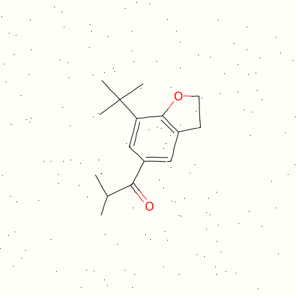 CC(C)C(=O)c1cc2c(c(C(C)(C)C)c1)OCC2